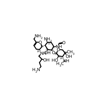 CN[C@@H]1[C@@H](O)[C@@H](O[C@H]2[C@H](NC=O)C[C@H](N)C([C@H]3OC(CN)=CC[C@H]3NCC(O)CCN)[C@@H]2O)OC[C@]1(C)O